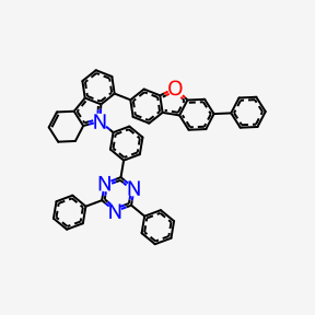 C1=Cc2c(n(-c3cccc(-c4nc(-c5ccccc5)nc(-c5ccccc5)n4)c3)c3c(-c4ccc5c(c4)oc4cc(-c6ccccc6)ccc45)cccc23)CC1